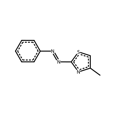 Cc1csc(N=Nc2ccccc2)n1